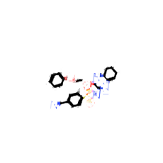 N#Cc1ccc(S(=O)(=O)Nc2nc3ccccc3nc2OCCOc2ccccc2)cc1